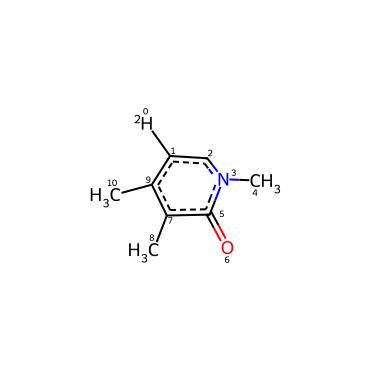 [2H]c1cn(C)c(=O)c(C)c1C